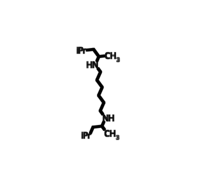 CC(C)CC(C)NCCCCCCNC(C)CC(C)C